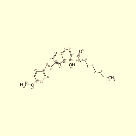 CCCCCCCNC(=O)c1ccc2ccc(C=Cc3ccc(OC)cc3)nc2c1O